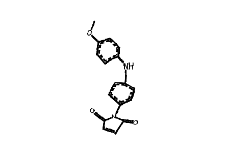 COc1ccc(Nc2ccc(N3C(=O)C=CC3=O)cc2)cc1